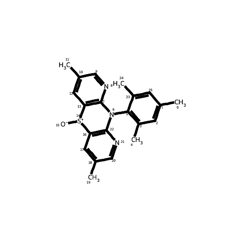 Cc1cc(C)c(N2c3ncc(C)cc3[S+]([O-])c3cc(C)cnc32)c(C)c1